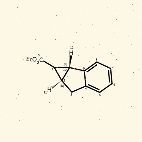 CCOC(=O)C1[C@@H]2Cc3ccccc3[C@@H]12